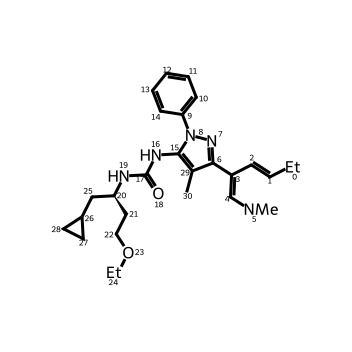 CC/C=C/C(=C\NC)c1nn(-c2ccccc2)c(NC(=O)N[C@@H](CCOCC)CC2CC2)c1C